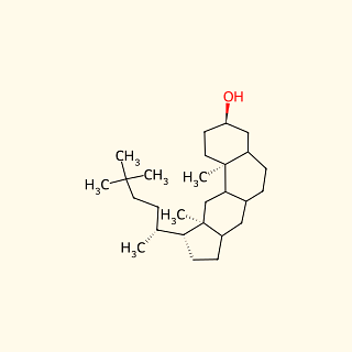 C[C@H](CCC(C)(C)C)[C@H]1CCC2CC3CCC4C[C@H](O)CC[C@]4(C)C3C[C@@]21C